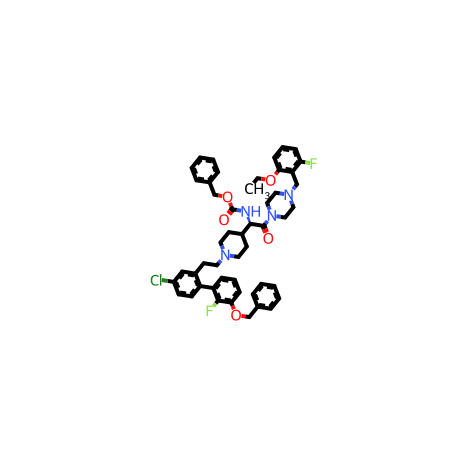 CCOc1cccc(F)c1CN1CCN(C(=O)[C@H](NC(=O)OCc2ccccc2)C2CCN(CCc3cc(Cl)ccc3-c3cccc(OCc4ccccc4)c3F)CC2)CC1